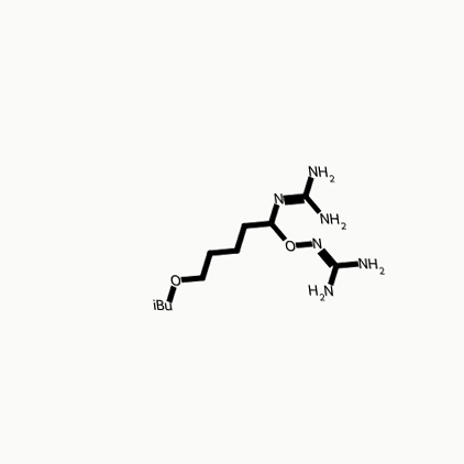 CCC(C)OCCCCC(N=C(N)N)ON=C(N)N